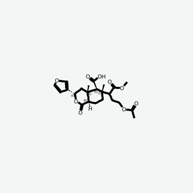 COC(=O)C(CCOC(C)=O)[C@]1(C)CC[C@H]2C(=O)O[C@H](c3ccoc3)C[C@]2(C)[C@H]1C(=O)O